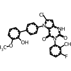 COc1cccc(-c2ccc(-n3c(Cl)cc4[nH]c(=O)n(-c5cccc(F)c5C)c(=O)c43)cc2)c1O